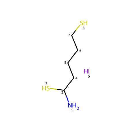 I.NC(S)CCCCS